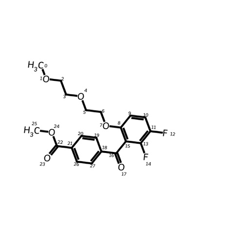 COCCOCCOc1ccc(F)c(F)c1C(=O)c1ccc(C(=O)OC)cc1